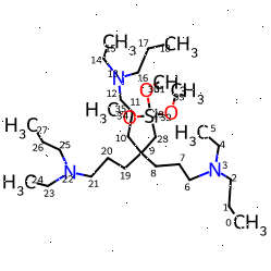 CCCN(CC)CCCC(CCCN(CC)CCC)(CCCN(CC)CCC)C[Si](OC)(OC)OC